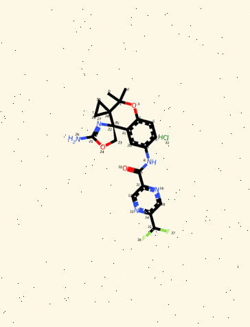 CC1(C)Oc2ccc(NC(=O)c3cnc(C(F)F)cn3)cc2[C@@]2(COC(N)=N2)C12CC2.Cl